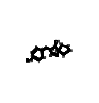 O=C1N(Cc2ccc(Br)cc2)C=NC12CCCC2